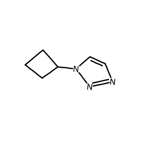 c1cn(C2CCC2)nn1